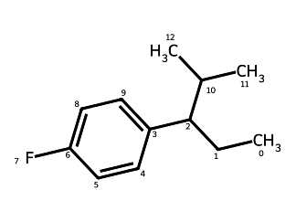 CCC(c1ccc(F)cc1)C(C)C